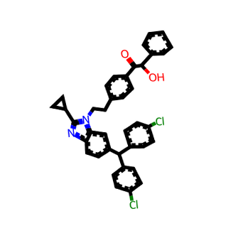 O=C(c1ccc(CCn2c(C3CC3)nc3ccc(C(c4ccc(Cl)cc4)c4ccc(Cl)cc4)cc32)cc1)C(O)c1ccccc1